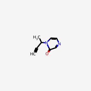 C#CC(C)n1ccncc1=O